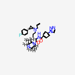 [2H]C1([2H])N(C)C([2H])([2H])C([2H])([2H])N(C(=O)[C@H](CCCN(CC=C)[C@@H]2C[C@H]2c2ccc(F)cc2)NC(=O)c2ccc(-n3ccnn3)cc2)C1([2H])[2H]